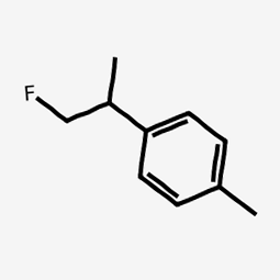 Cc1ccc(C(C)CF)cc1